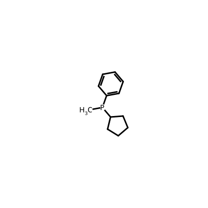 CP(c1ccccc1)C1CCCC1